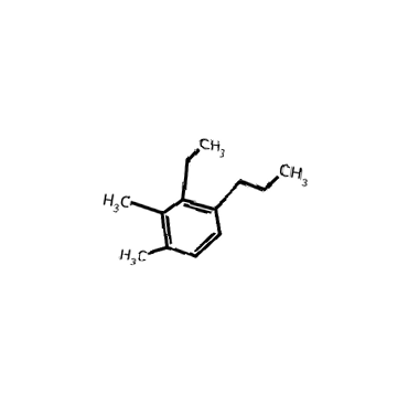 CCCc1ccc(C)c(C)c1CC